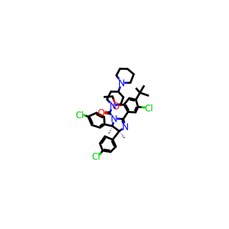 CCOc1cc(C(C)(C)C)c(Cl)cc1C1=N[C@@](C)(c2ccc(Cl)cc2)[C@@](C)(c2ccc(Cl)cc2)N1C(=O)N1CCC(N2CCCCC2)CC1